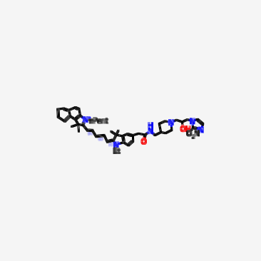 CCCCC[N+]1=C(/C=C/C=C/C=C2/N(CC)c3ccc(CC(=O)NCC4CCN(CC(O)Cn5ccnc5[N+](=O)[O-])CC4)cc3C2(C)C)C(C)(C)c2c1ccc1ccccc21